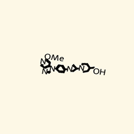 COc1cc2c(cn1)ncn2-c1ccc(N2CC(N3CCC(CO)CC3)C2)cc1